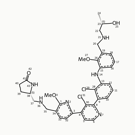 COc1nc(-c2ccnc(-c3cccc(Nc4cccc(CNC[C@H](C)O)c4OC)c3Cl)c2Cl)ccc1CNC[C@@H]1CCC(=O)N1